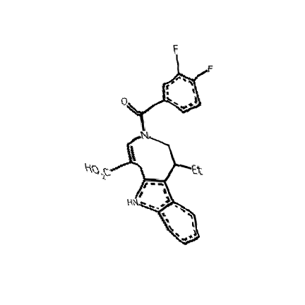 CCC1CN(C(=O)c2ccc(F)c(F)c2)C=C(C(=O)O)c2[nH]c3ccccc3c21